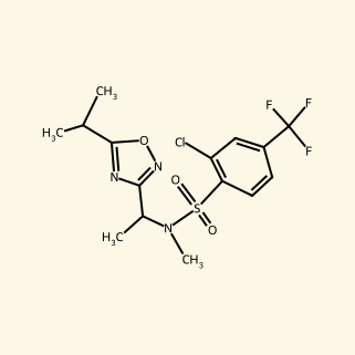 CC(C)c1nc(C(C)N(C)S(=O)(=O)c2ccc(C(F)(F)F)cc2Cl)no1